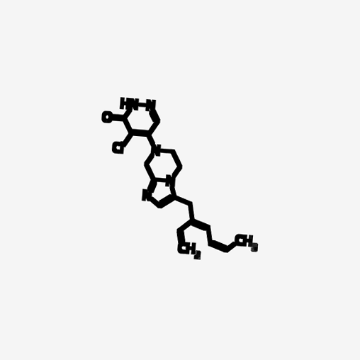 C=C/C(=C\C=C/C)Cc1cnc2n1CCN(c1cn[nH]c(=O)c1Cl)C2